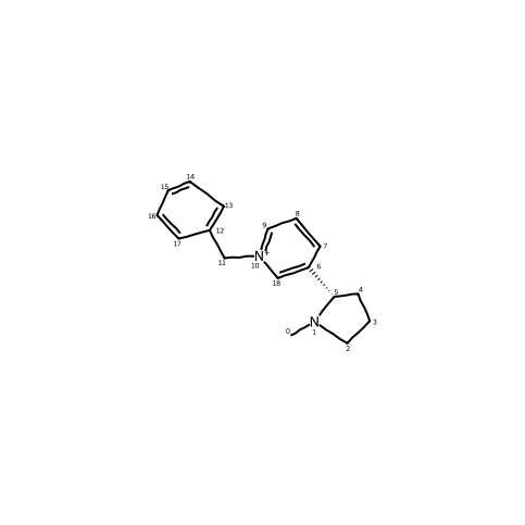 CN1CCC[C@H]1c1ccc[n+](Cc2ccccc2)c1